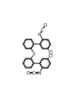 O=C=Nc1ccc(Cl)cc1-c1ccccc1Sc1ccccc1-c1cc(Cl)ccc1N=C=O